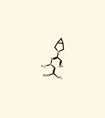 CN/C(N)=C\N(C)/N=C(\C=N)N1CC2CC2C1